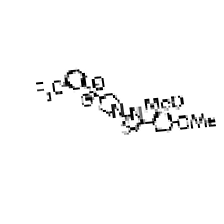 COc1ccc(-c2csc(N3CCC(S(=O)(=O)c4cccc(C(F)(F)F)c4)CC3)n2)c(OC)c1